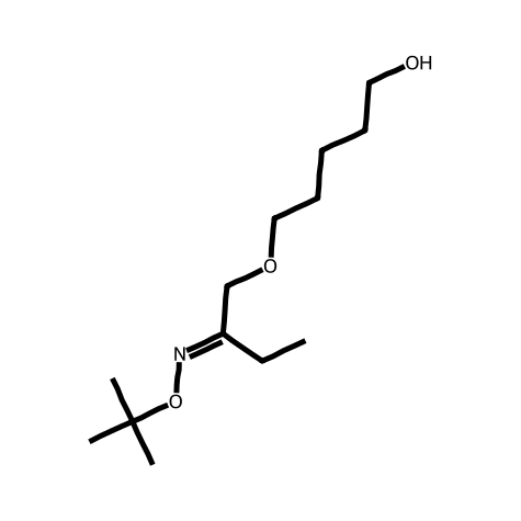 CC/C(COCCCCCO)=N\OC(C)(C)C